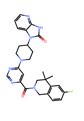 CC1(C)CN(C(=O)c2cc(N3CCC(n4c(=O)[nH]c5ncccc54)CC3)ncn2)Cc2ccc(F)cc21